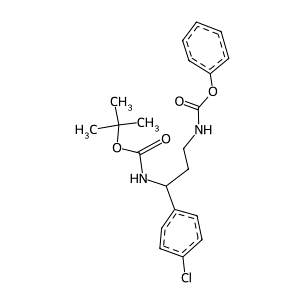 CC(C)(C)OC(=O)NC(CCNC(=O)Oc1ccccc1)c1ccc(Cl)cc1